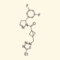 CCc1cn(CC23CC(C(=O)N4N=CCC4c4cc(F)cc(F)c4)(C2)C3)nn1